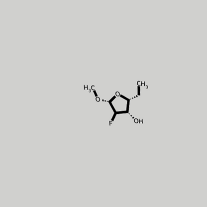 CC[C@H]1O[C@@H](OC)C(F)[C@H]1O